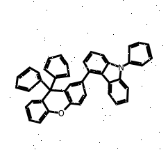 c1ccc(-n2c3ccccc3c3c(-c4ccc5c(c4)C(c4ccccc4)(c4ccccc4)c4ccccc4O5)cccc32)cc1